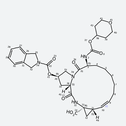 O=C(N[C@H]1CCCCC/C=C\[C@@H]2C[C@@]2(C(=O)O)NC(=O)[C@@H]2C[C@@H](OC(=O)N3Cc4ccccc4C3)CN2C1=O)OC1CCOCC1